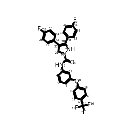 O=C(Nc1cccc(Oc2ccc(C(F)(F)F)cc2)c1)N1CC(c2ccc(F)cc2)=C(c2ccc(F)cc2)N1